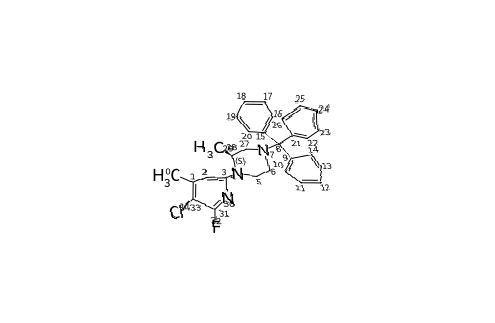 Cc1cc(N2CCN(C(c3ccccc3)(c3ccccc3)c3ccccc3)C[C@@H]2C)nc(F)c1Cl